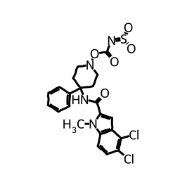 Cn1c(C(=O)NC2(c3ccccc3)CCN(OC(=O)N=S(=O)=O)CC2)cc2c(Cl)c(Cl)ccc21